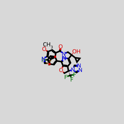 COc1cc(C(=O)NC[C@](O)(c2cc3c(c(-c4ccc(F)cc4)n2)OC[C@@]3(n2cnnc2)C(F)(F)F)C2CC2)cc2scnc12